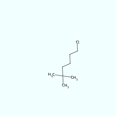 CC(C)(C)CCCCCl